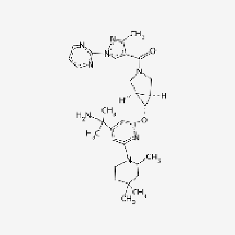 Cc1nn(-c2ncccn2)cc1C(=O)N1C[C@@H]2[C@H](C1)[C@H]2Oc1cc(C(C)(C)N)cc(N2CCC(C)(C)CC2C)n1